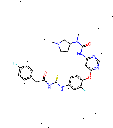 CN1CC[C@H](N(C)C(=O)Nc2cc(Oc3ccc(NC(=S)NC(=O)Cc4ccc(F)cc4)cc3F)ncn2)C1